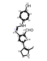 CC1=C(c2cc(/N=C\Nc3ccc(O)cc3)c(C=O)s2)CCO1